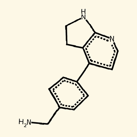 NCc1ccc(-c2ccnc3c2CCN3)cc1